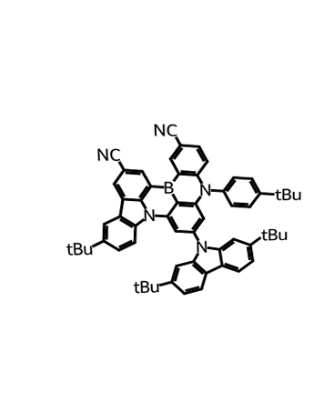 CC(C)(C)c1ccc(N2c3ccc(C#N)cc3B3c4c2cc(-n2c5cc(C(C)(C)C)ccc5c5ccc(C(C)(C)C)cc52)cc4-n2c4ccc(C(C)(C)C)cc4c4cc(C#N)cc3c42)cc1